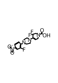 O=C(O)N1CC=C(N2CCN(c3ccc([N+](=O)[O-])cc3F)CC2)C(F)(F)C1